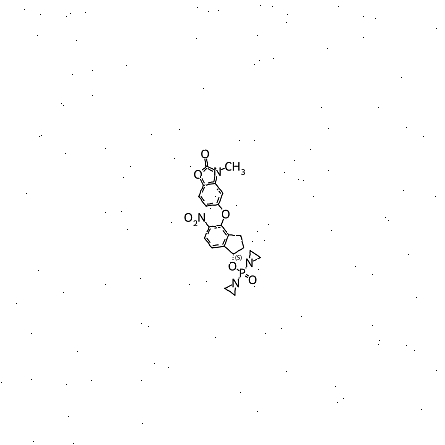 Cn1c(=O)oc2ccc(Oc3c([N+](=O)[O-])ccc4c3CC[C@@H]4OP(=O)(N3CC3)N3CC3)cc21